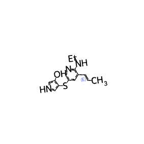 C/C=C/c1cc(Sc2c[nH]cc2O)cnc1NCC